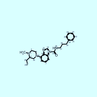 CN1CCN(c2cccc3c2ncn3C(=O)NCCCc2ccccc2)CC1CF